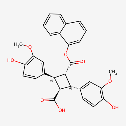 COc1cc([C@@H]2[C@H](C(=O)O)[C@@H](c3ccc(O)c(OC)c3)[C@H]2C(=O)Oc2cccc3ccccc23)ccc1O